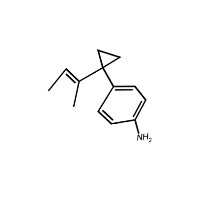 C/C=C(\C)C1(c2ccc(N)cc2)CC1